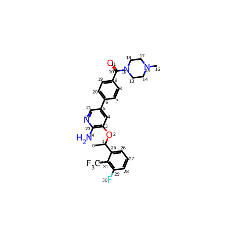 CC(Oc1cc(-c2ccc(C(=O)N3CCN(C)CC3)cc2)cnc1N)c1cccc(F)c1C(F)(F)F